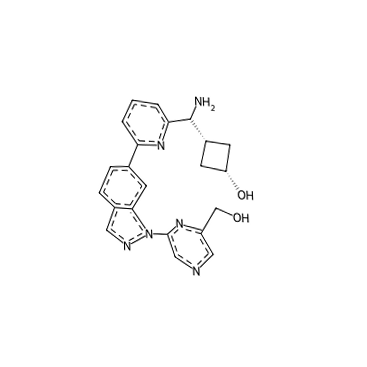 NC(c1cccc(-c2ccc3cnn(-c4cncc(CO)n4)c3c2)n1)[C@H]1C[C@@H](O)C1